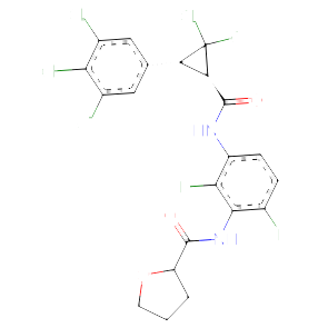 O=C(Nc1c(F)ccc(NC(=O)[C@H]2[C@H](c3cc(Cl)c(Cl)c(Cl)c3)C2(Cl)Cl)c1F)C1CCCO1